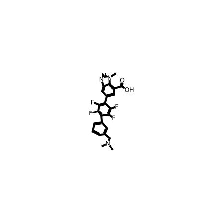 CN(C)Cc1cccc(-c2c(F)c(F)c(-c3cc(C(=O)O)c4c(c3)nnn4C)c(F)c2F)c1